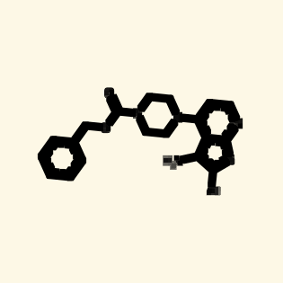 CC(=O)c1sc2nccc(N3CCN(C(=O)OCc4ccccc4)CC3)c2c1N